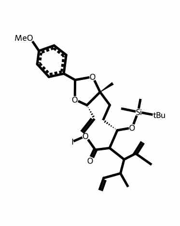 C=CC(C)C(C(=C)C)C(C(=O)OI)[C@H](CC[C@@]1(C)OC(c2ccc(OC)cc2)O[C@H]1C=C)O[Si](C)(C)C(C)(C)C